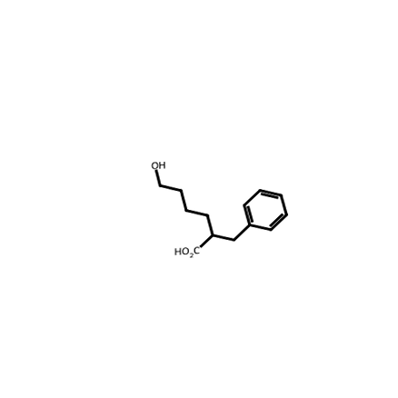 O=C(O)C(CCCCO)Cc1ccccc1